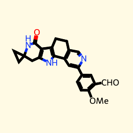 COc1ccc(-c2cc3c(cn2)CCc2c-3[nH]c3c2C(=O)NC2(CC2)C3)cc1C=O